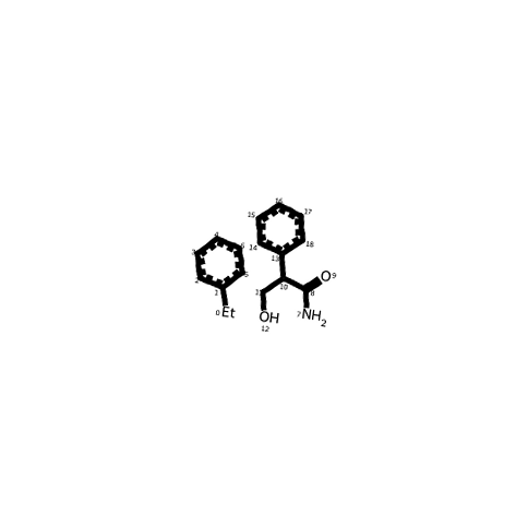 CCc1ccccc1.NC(=O)C(CO)c1ccccc1